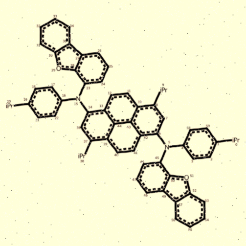 CC(C)c1ccc(N(c2cc(C(C)C)c3ccc4c(N(c5ccc(C(C)C)cc5)c5cccc6c5oc5ccccc56)cc(C(C)C)c5ccc2c3c54)c2cccc3c2oc2ccccc23)cc1